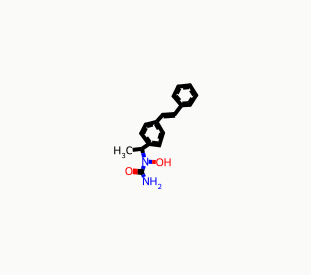 CC(c1ccc(C=Cc2ccccc2)cc1)N(O)C(N)=O